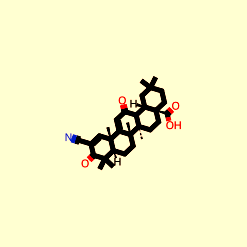 CC1(C)CC[C@]2(C(=O)O)CC[C@]3(C)C(C(=O)C=C4[C@@]5(C)C=C(C#N)C(=O)C(C)(C)[C@@H]5CC[C@]43C)[C@@H]2C1